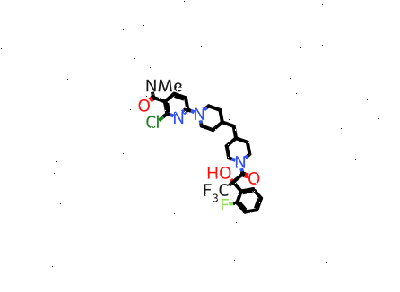 CNC(=O)c1ccc(N2CCC(CC3CCN(C(=O)C(O)(c4ccccc4F)C(F)(F)F)CC3)CC2)nc1Cl